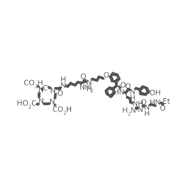 CCC(=O)NCCNC(=O)/N=C(/N)NCCC[C@@H](NC(=O)[C@@H](c1ccccc1)c1cccc(OCCCCNC(=O)[C@H](N)CCCCNC(=O)CN2CCN(CC(=O)O)CCN(CC(=O)O)CCN(CC(=O)O)CC2)c1)C(=O)NCc1ccc(O)cc1